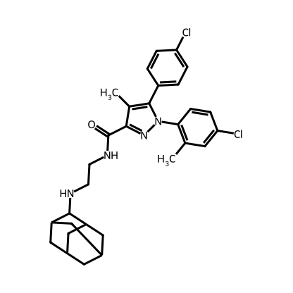 Cc1cc(Cl)ccc1-n1nc(C(=O)NCCNC2C3CC4CC(C3)CC2C4)c(C)c1-c1ccc(Cl)cc1